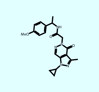 COc1ccc(C(C)NC(=O)Cn2ncc3c(c(C)nn3C3CC3)c2=O)cc1